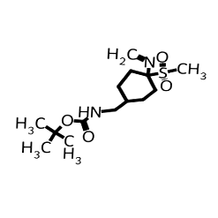 C=NC1(S(C)(=O)=O)CCC(CNC(=O)OC(C)(C)C)CC1